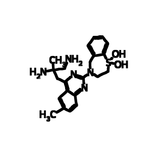 Cc1ccc2nc(N3CCS(O)(O)c4ccccc4C3)nc(CC(C)(N)CN)c2c1